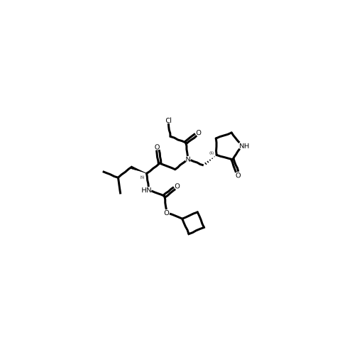 CC(C)C[C@H](NC(=O)OC1CCC1)C(=O)CN(C[C@@H]1CCNC1=O)C(=O)CCl